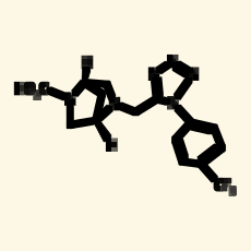 O=C(O)N1C[C@@H]2C[C@H]1CN2Cc1nnnn1-c1ccc(C(F)(F)F)cc1